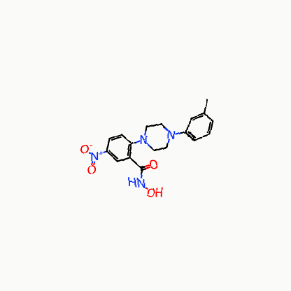 Cc1cccc(N2CCN(c3ccc([N+](=O)[O-])cc3C(=O)NO)CC2)c1